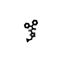 O=C(Nc1nnc(CC2CC2)o1)C(c1ccccc1)c1ccccc1